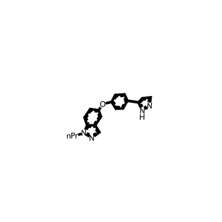 CCCn1ncc2cc(Oc3ccc(-c4ccn[nH]4)cc3)ccc21